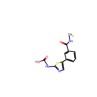 CNC(=O)c1cccc(-c2cnc(NC(=O)O)s2)c1